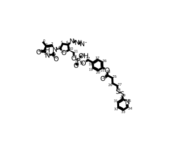 Cc1cn([C@H]2CC(N=[N+]=[N-])[C@@H](COP(=O)(O)OCc3ccc(OC(=O)CCCSSc4ccccn4)cc3)O2)c(=O)[nH]c1=O